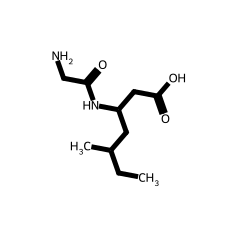 CCC(C)CC(CC(=O)O)NC(=O)CN